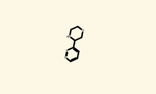 c1cnnc(C2COCCN2)c1